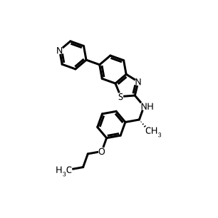 CCCOc1cccc([C@@H](C)Nc2nc3ccc(-c4ccncc4)cc3s2)c1